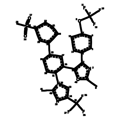 Cc1nc(-c2ccc(OC(F)(F)F)cc2)c(-c2cc(-c3cccc(S(C)(=O)=O)c3)ccc2-n2cc(C(F)(F)F)nc2C)o1